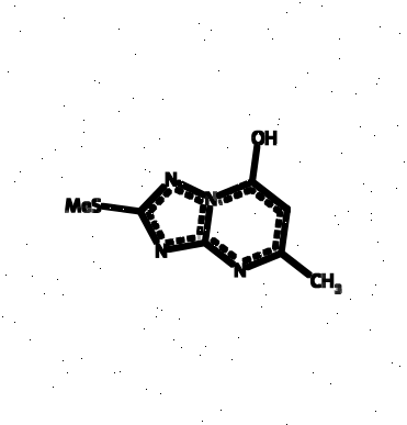 CSc1nc2nc(C)cc(O)n2n1